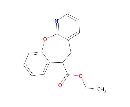 CCOC(=O)C1Cc2cccnc2Oc2ccccc21